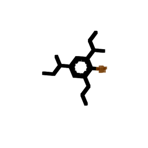 CCCc1cc(C(C)CC)cc(C(C)CC)c1Br